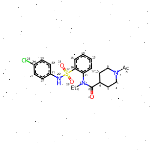 CCN(C(=O)C1CCN(C(C)=O)CC1)c1ccccc1S(=O)(=O)Nc1ccc(Cl)cc1